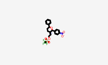 O=[N+]([O-])c1ccc(C2OC(c3ccccc3)CC/C2=C\COS(=O)(=O)C(F)(F)F)cc1